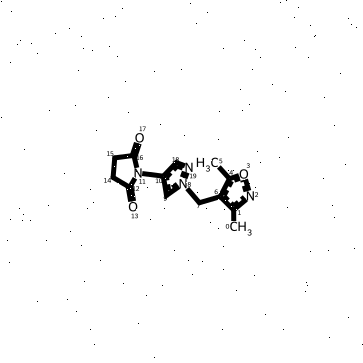 Cc1noc(C)c1Cn1cc(N2C(=O)CCC2=O)cn1